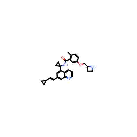 Cc1ccc(OC[C@@H]2CCN2)cc1C(=O)NC1(c2cc(/C=C/C3CC3)cc3ncccc23)CC1